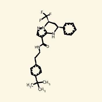 CC(C)(C)c1ccc(CCNC(=O)c2cnn3c2N[C@H](c2ccccc2)C[C@@H]3C(F)(F)F)cc1